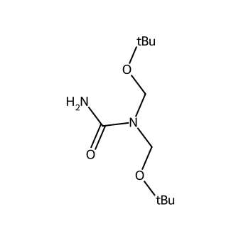 CC(C)(C)OCN(COC(C)(C)C)C(N)=O